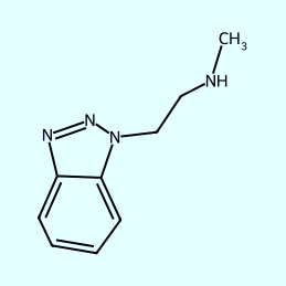 CNCCn1nnc2ccccc21